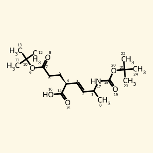 CC(/C=C/[C@H](CCC(=O)OC(C)(C)C)C(=O)O)NC(=O)OC(C)(C)C